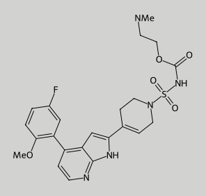 CNCCOC(=O)NS(=O)(=O)N1CC=C(c2cc3c(-c4cc(F)ccc4OC)ccnc3[nH]2)CC1